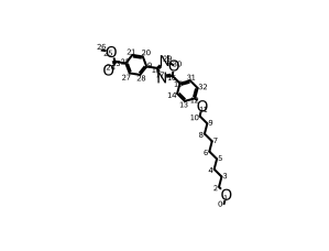 COCCCCCCCCCOc1ccc(-c2nc(-c3ccc(C(=O)OC)cc3)no2)cc1